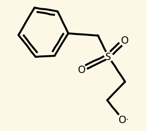 [O]CCS(=O)(=O)Cc1ccccc1